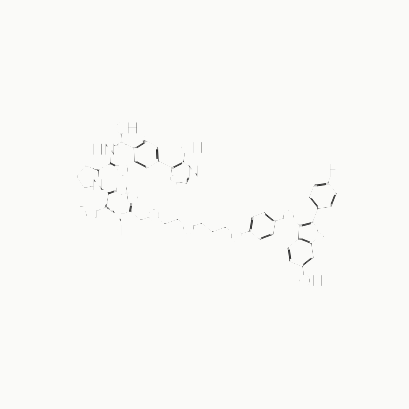 Cc1ncsc1-c1ccc([C@H](C)NC(=O)[C@@H]2CCCN2C(=O)[C@@H](NC(=O)COCCOCCCOc2ccc(Oc3c(-c4ccc(F)cc4)sc4cc(O)ccc34)cc2)C(C)(C)C)cc1